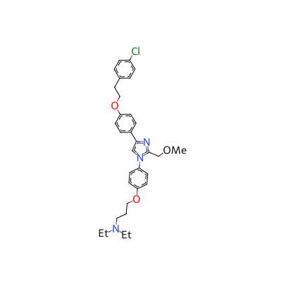 CCN(CC)CCCOc1ccc(-n2cc(-c3ccc(OCCc4ccc(Cl)cc4)cc3)nc2COC)cc1